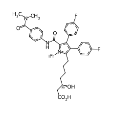 CC(C)n1c(CCCC[C@@H](O)CC(=O)O)c(-c2ccc(F)cc2)c(-c2ccc(F)cc2)c1C(=O)Nc1ccc(C(=O)N(C)C)cc1